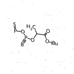 B#P(OP=S)OC(C)C(=O)OC(C)CC